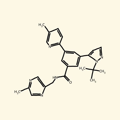 Cc1ccc(-c2cc(C(=O)NCc3cnc(C)cn3)cc(-c3ccnn3C(C)(C)C)c2)nc1